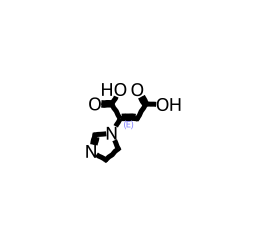 O=C(O)/C=C(\C(=O)O)N1C=NCC1